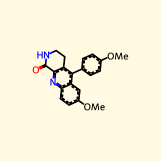 COc1ccc(-c2c3c(nc4ccc(OC)cc24)C(=O)NCC3)cc1